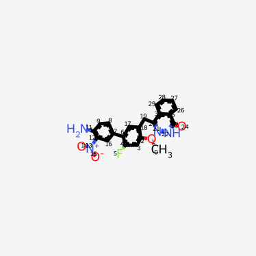 COc1cc(F)c(-c2ccc(N)c([N+](=O)[O-])c2)cc1Cc1n[nH]c(=O)c2ccccc12